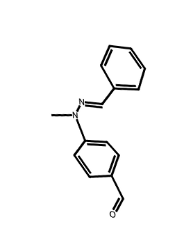 CN(N=Cc1ccccc1)c1ccc(C=O)cc1